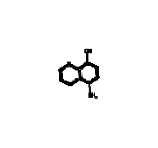 Bc1ccc(O)c2ncccc12